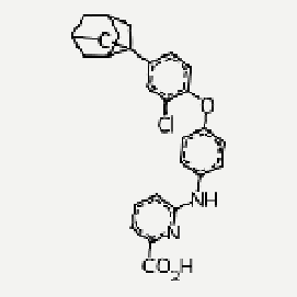 O=C(O)c1cccc(Nc2ccc(Oc3ccc(C45CC6CC(CC4C6)C5)cc3Cl)cc2)n1